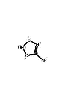 SC1=NONO1